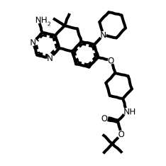 CC(C)(C)OC(=O)NC1CCC(Oc2ccc3c(c2N2CCCCC2)CC(C)(C)c2c(N)ncnc2-3)CC1